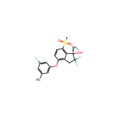 B[C@]1(O)c2c(S(C)(=O)=O)ccc(Oc3cc(F)cc(C#N)c3)c2CC1(F)F